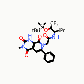 CC(C)C(NC(=O)Cn1c(-c2ccccc2)cc2c(=O)n(C)c(=O)[nH]c2c1=O)C(O[Si](C)(C)C(C)(C)C)C(F)(F)F